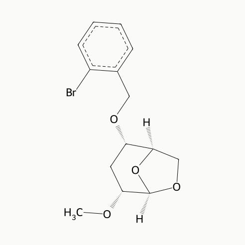 CO[C@@H]1C[C@H](OCc2ccccc2Br)[C@H]2CO[C@@H]1O2